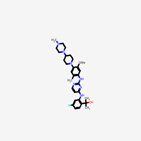 COc1cc(Nc2nccc(Nc3cc(F)ccc3C(C)(C)O)n2)c(C)cc1N1CCC(N2CCN(C)CC2)CC1